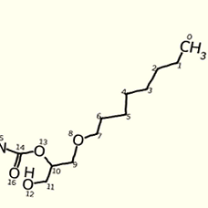 CCCCCCCCOCC(CO)OC(N)=O